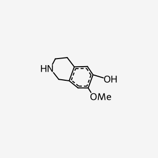 COc1cc2c(cc1O)CCNC2